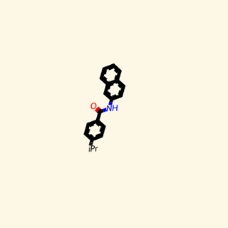 CC(C)c1ccc(C(=O)Nc2ccc3ccccc3c2)cc1